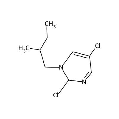 CCC(C)CN1C=C(Cl)C=NC1Cl